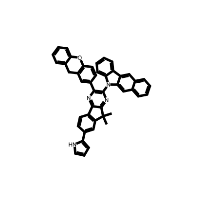 CC1(C)c2cc(-c3ccc[nH]3)ccc2-c2nc(-c3ccc4c(c3)Cc3ccccc3O4)c(-n3c4ccccc4c4cc5ccccc5cc43)nc21